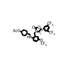 CC(=O)OC1CCC(CNc2ccc(OC(F)(F)F)cc2CN2C(=O)O[C@H](c3cc(C(F)(F)F)cc(C(F)(F)F)c3)[C@@H]2C)CC1